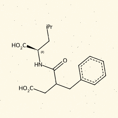 CC(C)C[C@@H](NC(=O)C(CC(=O)O)Cc1ccccc1)C(=O)O